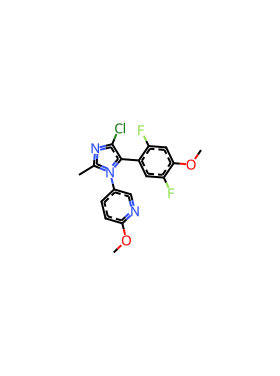 COc1ccc(-n2c(C)nc(Cl)c2-c2cc(F)c(OC)cc2F)cn1